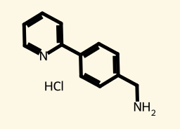 Cl.NCc1ccc(-c2ccccn2)cc1